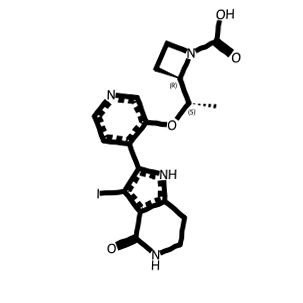 C[C@H](Oc1cnccc1-c1[nH]c2c(c1I)C(=O)NCC2)[C@H]1CCN1C(=O)O